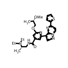 CCN(CC)[C@@H](C)CNC(=O)c1cc(OC[C@H](C)OC)nc(-c2cnn3ccc(-c4cccs4)nc23)c1